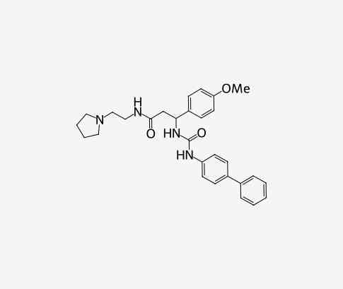 COc1ccc(C(CC(=O)NCCN2CCCC2)NC(=O)Nc2ccc(-c3ccccc3)cc2)cc1